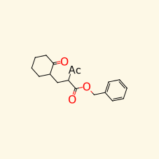 CC(=O)C(CC1CCCCC1=O)C(=O)OCc1ccccc1